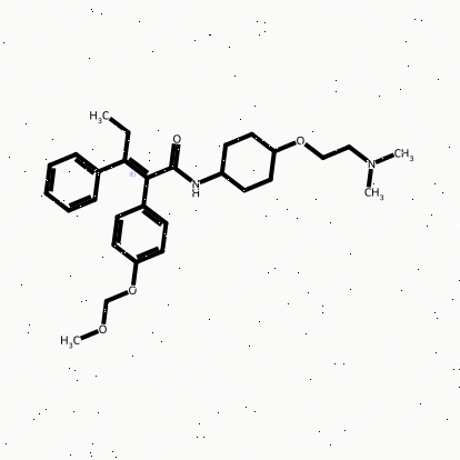 CC/C(=C(\C(=O)NC1CCC(OCCN(C)C)CC1)c1ccc(OCOC)cc1)c1ccccc1